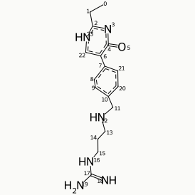 CCc1nc(=O)c(-c2ccc(CNCCCNC(=N)N)cc2)c[nH]1